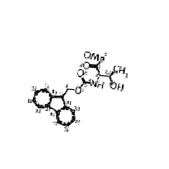 COC(=O)[C@@H](NC(=O)OCC1c2ccccc2-c2ccccc21)C(C)O